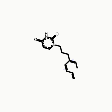 C=C/C=C\C(=C/C)CCCn1ccc(=O)[nH]c1=O